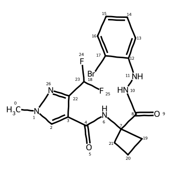 Cn1cc(C(=O)NC2(C(=O)NNc3ccccc3Br)CCC2)c(C(F)F)n1